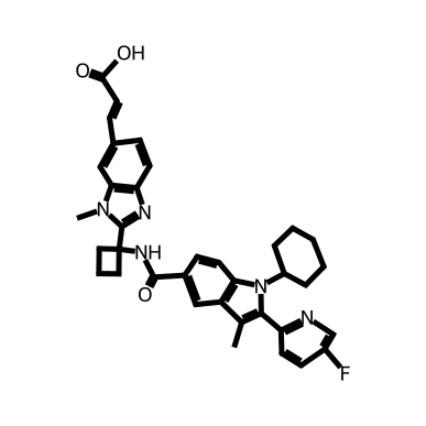 Cc1c(-c2ccc(F)cn2)n(C2CCCCC2)c2ccc(C(=O)NC3(c4nc5ccc(/C=C/C(=O)O)cc5n4C)CCC3)cc12